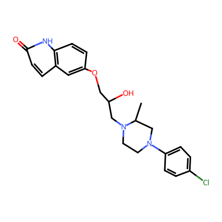 CC1CN(c2ccc(Cl)cc2)CCN1CC(O)COc1ccc2[nH]c(=O)ccc2c1